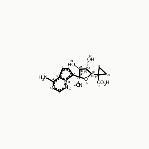 N#C[C@@]1(c2ccc3c(N)ncnn23)O[C@H](C2(C(=O)O)CC2)[C@@H](O)[C@H]1O